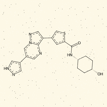 O=C(N[C@H]1CC[C@@H](O)CC1)c1cc(-c2cnn3cc(-c4cn[nH]c4)cnc23)cs1